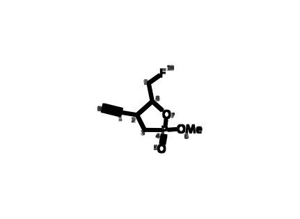 C#CC1CP(=O)(OC)OC1CF